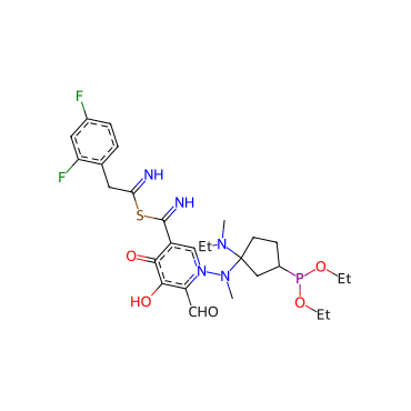 CCOP(OCC)C1CCC(N(C)CC)(N(C)n2cc(C(=N)SC(=N)Cc3ccc(F)cc3F)c(=O)c(O)c2C=O)C1